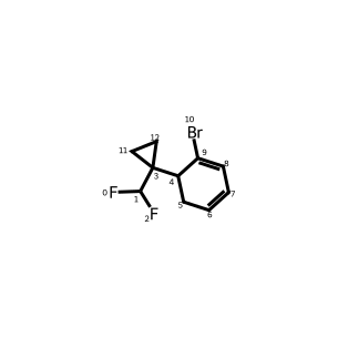 FC(F)C1(C2CC=CC=C2Br)CC1